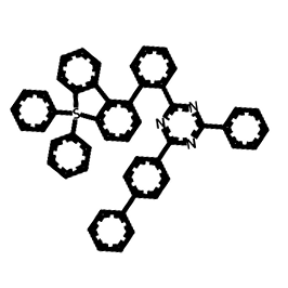 c1ccc(-c2ccc(-c3nc(-c4ccccc4)nc(-c4ccccc4-c4cccc5c4-c4ccccc4S5(c4ccccc4)c4ccccc4)n3)cc2)cc1